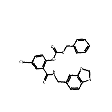 O=C(Nc1ccc(Cl)cc1C(=O)NCc1ccc2c(c1)OCO2)OCc1ccccc1